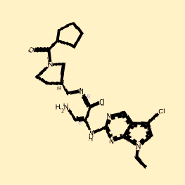 CCn1cc(Cl)c2cnc(NC(=C/N)/C(Cl)=N\C[C@H]3CCN(C(=O)C4CCCC4)C3)nc21